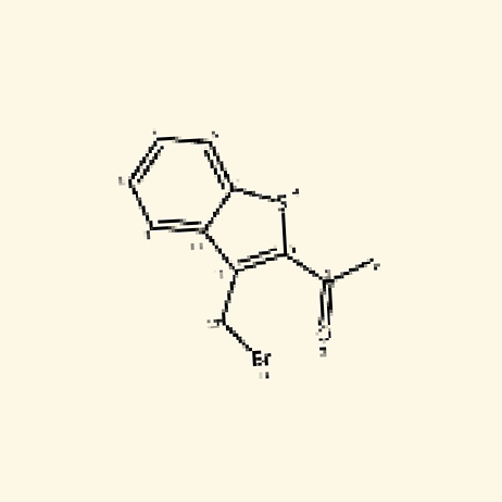 CC(=O)c1sc2ccccc2c1CBr